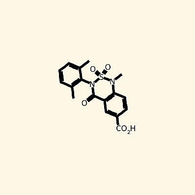 Cc1cccc(C)c1N1C(=O)c2cc(C(=O)O)ccc2N(C)S1(=O)=O